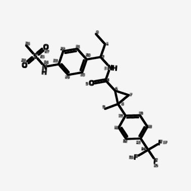 CCC(NC(=O)C1CC1(C)c1ccc(C(F)(F)F)cc1)c1ccc(NS(C)(=O)=O)cc1